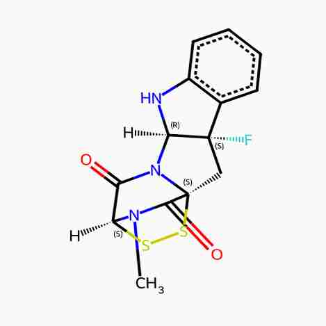 CN1C(=O)[C@@]23C[C@]4(F)c5ccccc5N[C@@H]4N2C(=O)[C@@H]1SS3